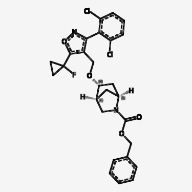 O=C(OCc1ccccc1)N1C[C@@H]2C[C@H]1C[C@H]2OCc1c(-c2c(Cl)cccc2Cl)noc1C1(F)CC1